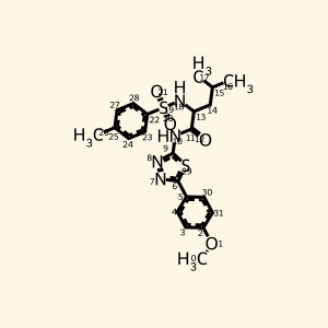 COc1ccc(-c2nnc(NC(=O)C(CC(C)C)NS(=O)(=O)c3ccc(C)cc3)s2)cc1